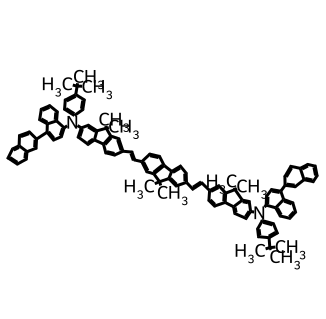 CC(C)(C)c1ccc(N(c2ccc3c(c2)C(C)(C)c2cc(/C=C/c4ccc5c(c4)C(C)(C)c4cc(/C=C/c6ccc7c(c6)C(C)(C)c6cc(N(c8ccc(C(C)(C)C)cc8)c8ccc(-c9ccc%10ccccc%10c9)c9ccccc89)ccc6-7)ccc4-5)ccc2-3)c2ccc(-c3ccc4ccccc4c3)c3ccccc23)cc1